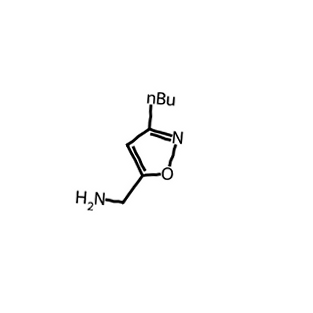 CCCCc1cc(CN)on1